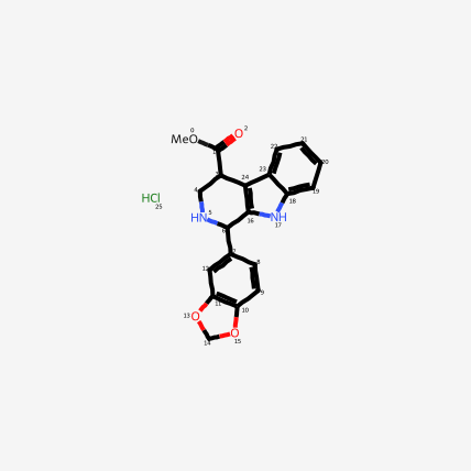 COC(=O)C1CNC(c2ccc3c(c2)OCO3)c2[nH]c3ccccc3c21.Cl